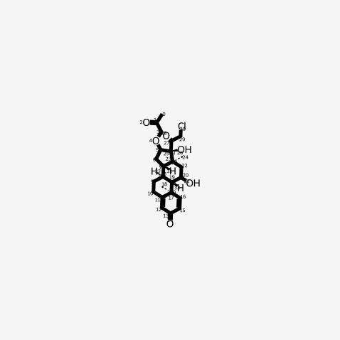 CC(=O)COC1C[C@H]2[C@@H]3CCC4=CC(=O)C=C[C@]4(C)[C@H]3C(O)C[C@]2(C)[C@@]1(O)C(=O)CCl